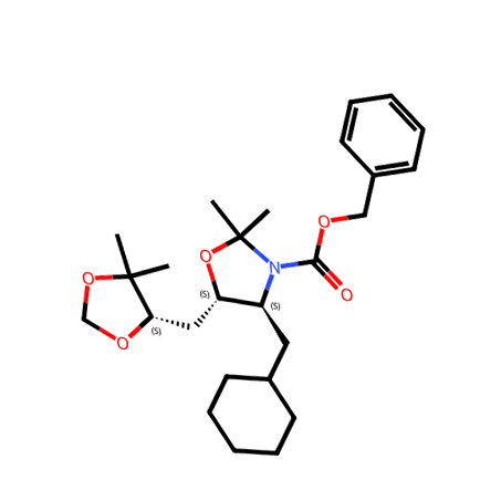 CC1(C)OCO[C@H]1C[C@@H]1OC(C)(C)N(C(=O)OCc2ccccc2)[C@H]1CC1CCCCC1